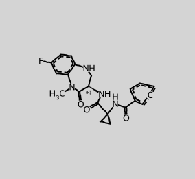 CN1C(=O)[C@H](NC(=O)C2(NC(=O)c3ccccc3)CC2)CNc2ccc(F)cc21